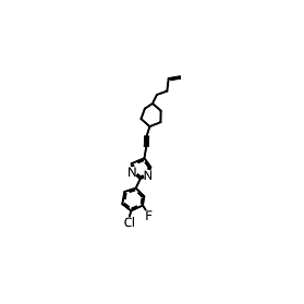 C=CCCC1CCC(C#Cc2cnc(-c3ccc(Cl)c(F)c3)nc2)CC1